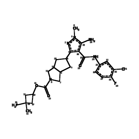 Cn1nc(C2CC3CN(C(=O)OC4CC(C)(P)C4)CC3C2)c(C(=O)Nc2ccc(F)c(Cl)c2)c1N